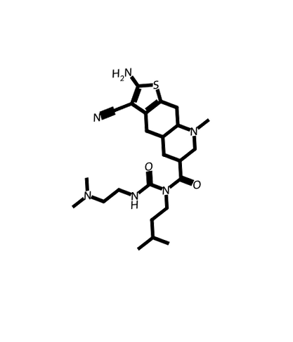 CC(C)CCN(C(=O)NCCN(C)C)C(=O)C1CC2Cc3c(sc(N)c3C#N)CC2N(C)C1